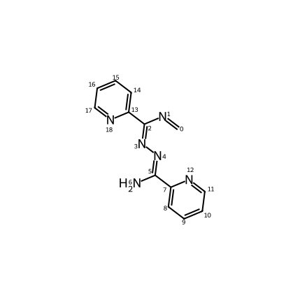 C=N/C(=N\N=C(/N)c1ccccn1)c1ccccn1